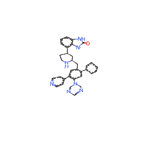 O=C1[N]c2c(cccc2C2CCNC(Cc3cc(-c4ccncc4)c(N4C=NC=NC4)cc3-c3ccccc3)C2)N1